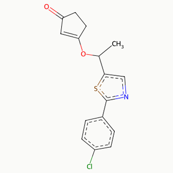 CC(OC1=CC(=O)CC1)c1cnc(-c2ccc(Cl)cc2)s1